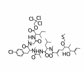 C/C=C(\C)C(O)C(C)C(C/C=C(\C)C(=O)N(C)C(CC(C)C)C(=O)NC(C)C(=O)N(C)C(Cc1ccc(Cl)cc1)C(=O)N(C)CC(=O)NC(C(=O)OCC(Cl)(Cl)Cl)C(C)CC)OCSC